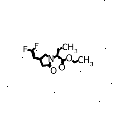 CCOC(=O)C(CC)N1CC(C=C(F)F)CC1=O